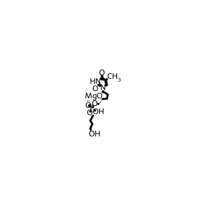 Cc1cn([C@H]2CC[C@H](COP(=O)(O)OCCCCO)O2)c(=O)[nH]c1=O.[Mg]